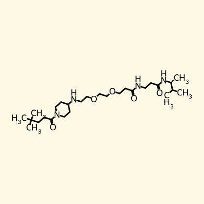 CC(C)[C@H](C)NC(=O)CCNC(=O)CCOCCOCCNC1CCN(C(=O)CCC(C)(C)C)CC1